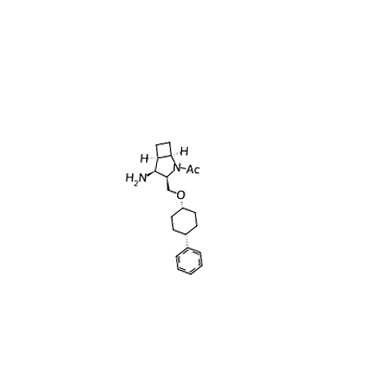 CC(=O)N1[C@@H]2CC[C@@H]2[C@H](N)[C@@H]1CO[C@H]1CC[C@@H](c2ccccc2)CC1